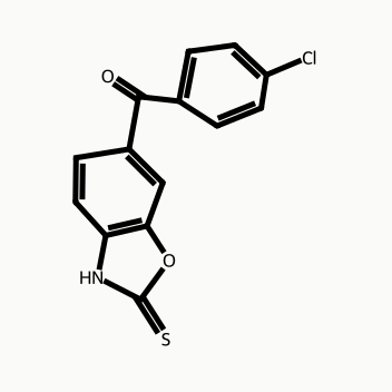 O=C(c1ccc(Cl)cc1)c1ccc2[nH]c(=S)oc2c1